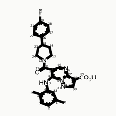 Cc1ccc(C)c(Nc2c(C(=O)N3CCC(c4ccc(F)cc4)CC3)cnc3c(C(=O)O)cnn23)c1